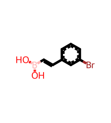 OB(O)C=Cc1cccc(Br)c1